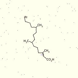 C/C(=C\C(=O)O)CCCC(C)CCCC(C)CCCC(C)C